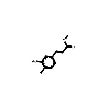 CC(=O)c1cc(/C=C/C(=O)OI)ccc1C